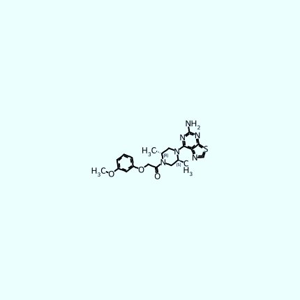 COc1cccc(OCC(=O)N2C[C@H](C)N(c3nc(N)nc4scnc34)C[C@H]2C)c1